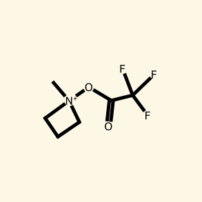 C[N+]1(OC(=O)C(F)(F)F)CCC1